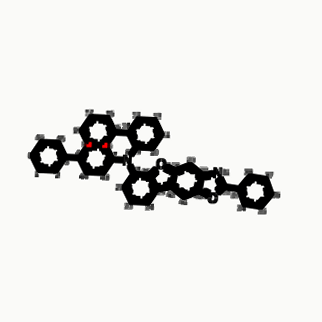 c1ccc(-c2ccc(N(c3ccccc3-c3ccccc3)c3cccc4c3oc3cc5nc(-c6ccccc6)oc5cc34)cc2)cc1